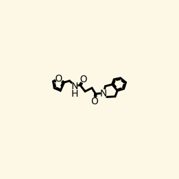 O=C(CCC(=O)N1CCc2ccccc2C1)NCc1ccco1